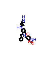 O=C1c2ccc(NC3CC4(CNC4)C3)cc2C(Cc2ccccc2)N1Cc1ccc2[nH]c(=O)oc2c1